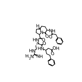 N=C(N)NCC[C@H](NC(=O)C1CC[C@@H]2CCC(NC(=O)Cc3ccccc3)C(=O)N12)C(=O)NC(CCc1ccccc1)CC(=O)O